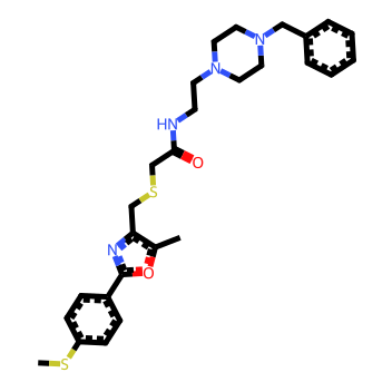 CSc1ccc(-c2nc(CSCC(=O)NCCN3CCN(Cc4ccccc4)CC3)c(C)o2)cc1